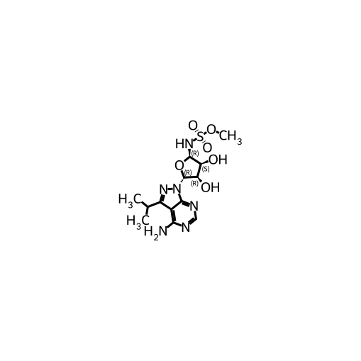 COS(=O)(=O)N[C@@H]1O[C@@H](n2nc(C(C)C)c3c(N)ncnc32)[C@H](O)[C@@H]1O